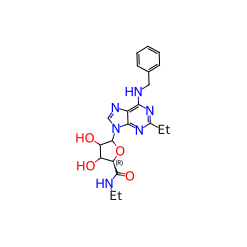 CCNC(=O)[C@@H]1OC(n2cnc3c(NCc4ccccc4)nc(CC)nc32)C(O)C1O